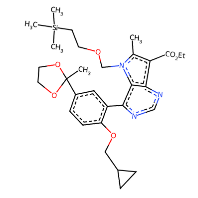 CCOC(=O)c1c(C)n(COCC[Si](C)(C)C)c2c(-c3cc(C4(C)OCCO4)ccc3OCC3CC3)ncnc12